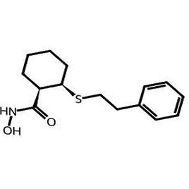 O=C(NO)[C@H]1CCCC[C@H]1SCCc1ccccc1